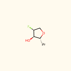 CC(C)[C@H]1OC[C@H](F)[C@@H]1O